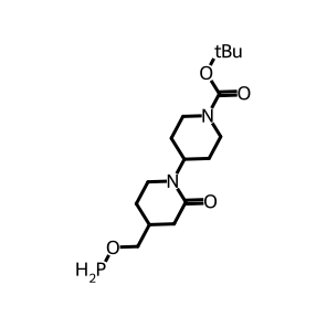 CC(C)(C)OC(=O)N1CCC(N2CCC(COP)CC2=O)CC1